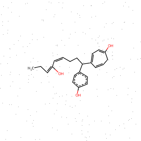 CC/C=C(O)\C=C/CCC(C1=CC=C(O)CC=C1)c1ccc(O)cc1